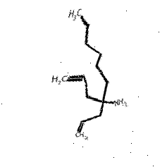 C=CCC(N)(CC=C)CCCCCC